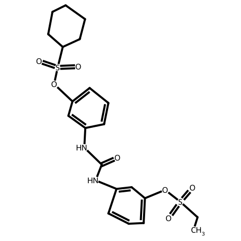 CCS(=O)(=O)Oc1cccc(NC(=O)Nc2cccc(OS(=O)(=O)C3CCCCC3)c2)c1